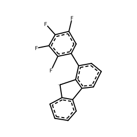 Fc1cc(-c2cccc3c2[CH]c2ccccc2-3)c(F)c(F)c1F